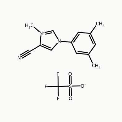 Cc1cc(C)cc(-n2cc(C#N)[n+](C)c2)c1.O=S(=O)([O-])C(F)(F)F